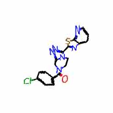 O=C(c1ccc(Cl)cc1)N1CCn2c(nnc2-c2nc3cccnc3s2)C1